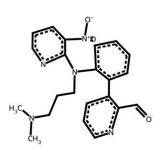 CN(C)CCCN(c1ccccc1-c1cccnc1C=O)c1ncccc1[N+](=O)[O-]